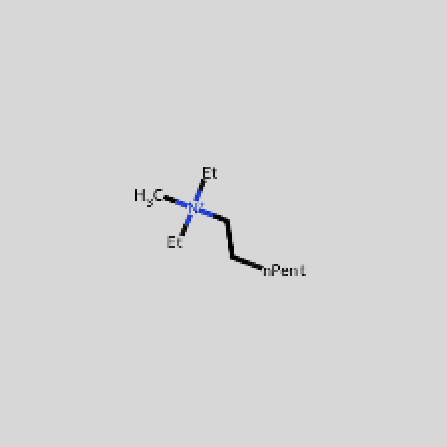 CCCCCCC[N+](C)(CC)CC